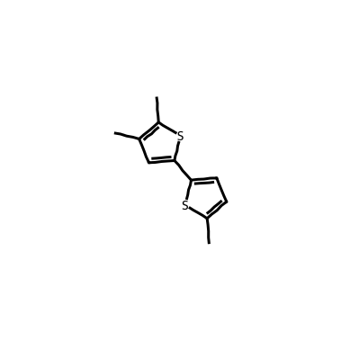 Cc1ccc(-c2cc(C)c(C)s2)s1